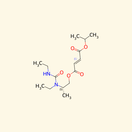 CCNC(=O)N(CC)[C@@H](C)COC(=O)/C=C/C(=O)OC(C)C